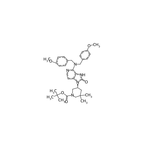 COc1ccc(CN(Cc2ccc(OC)cc2)c2nccc3c2[nH]c(=O)n3[C@@H]2CN(C(=O)OC(C)(C)C)CC(C)(C)C2)cc1